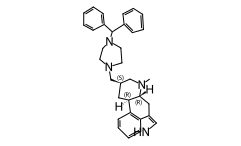 CN1C[C@H](CN2CCN(C(c3ccccc3)c3ccccc3)CC2)C[C@@H]2c3cccc4[nH]cc(c34)C[C@H]21